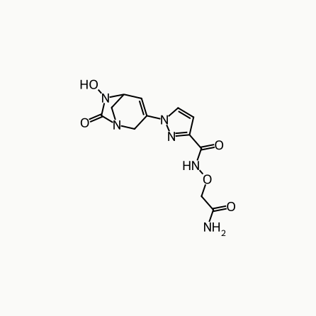 NC(=O)CONC(=O)c1ccn(C2=CC3CN(C2)C(=O)N3O)n1